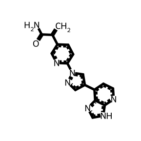 C=C(C(N)=O)c1ccc(-n2cc(-c3ccnc4[nH]cnc34)cn2)nc1